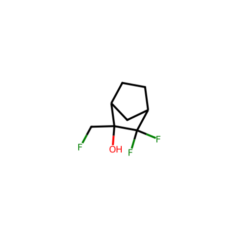 OC1(CF)C2CCC(C2)C1(F)F